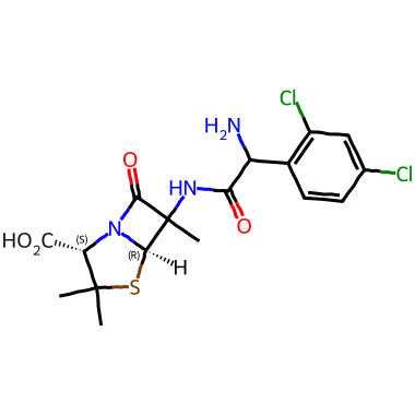 CC1(C)S[C@H]2N(C(=O)C2(C)NC(=O)C(N)c2ccc(Cl)cc2Cl)[C@H]1C(=O)O